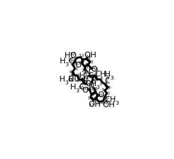 CC(C)=CCCC(C)=CCCC1(C)Oc2c(c(O)cc3c2CN(CCCC(C(=O)O)N2Cc4c(cc(O)c5c4OC(C)(CCC=C(C)CCC=C(C)C)C(O)C5)C2=O)C3=O)CC1O